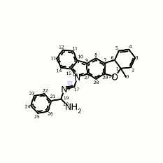 CC12C=CC=CC1c1cc3c4ccccc4n(/C=N/C(N)c4ccccc4)c3cc1O2